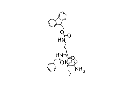 CC(C)C[C@H](NC(=O)[C@H](CCCNC(=O)OCC1c2ccccc2-c2ccccc21)NC(=O)Cc1ccccc1)C(N)=O